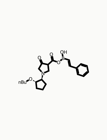 CCCCO[C@H]1CCC[C@@H]1N1CC(=O)C(C(=O)OB(O)/C=C/c2ccccc2)C1